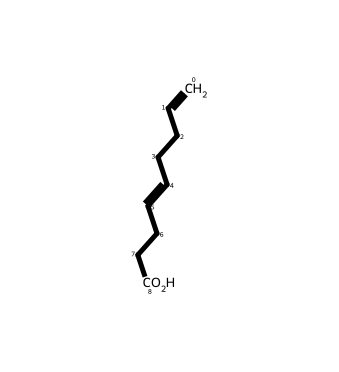 C=CCCC=CCCC(=O)O